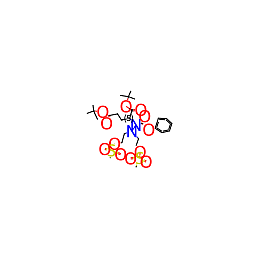 CC(C)(C)OC(=O)CC[C@@H](C(=O)OC(C)(C)C)N(C(=O)Oc1ccccc1)N(CCOS(C)(=O)=O)CCOS(C)(=O)=O